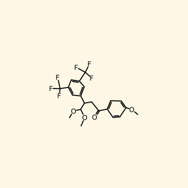 COc1ccc(C(=O)CC(c2cc(C(F)(F)F)cc(C(F)(F)F)c2)C(OC)OC)cc1